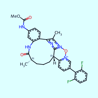 COC(=O)Nc1ccc2c(c1)NC(=O)[C@@H](C)CCC[C@@H]1c3nc-2c(C)n3O[n+]2cc(-c3c(F)cccc3F)ccc21